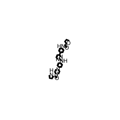 O=C(Nc1ccc(-c2ccnc(Nc3ccc(N4CCN(C(=O)[C@H]5CCCN5)CC4)cc3)n2)cc1)C1CCCO1